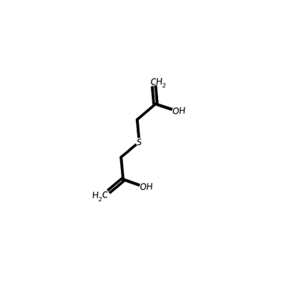 C=C(O)CSCC(=C)O